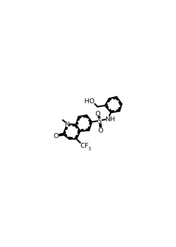 Cn1c(=O)cc(C(F)(F)F)c2cc(S(=O)(=O)Nc3ccccc3CO)ccc21